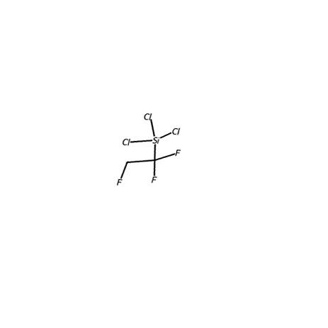 FCC(F)(F)[Si](Cl)(Cl)Cl